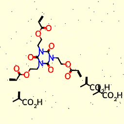 C=C(C)C(=O)O.C=C(C)C(=O)O.C=C(C)C(=O)O.C=CC(=O)OCCn1c(=O)n(CCOC(=O)C=C)c(=O)n(CCOC(=O)C=C)c1=O